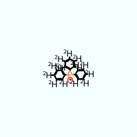 [2H]c1c([2H])c([2H])c(P(=O)(c2c([2H])c([2H])c([2H])c([2H])c2[2H])c2c([2H])c([2H])c([2H])c([2H])c2[2H])c([2H])c1[2H]